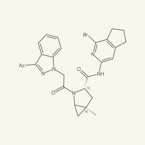 CC(=O)c1nn(CC(=O)N2C3C[C@]3(C)C[C@H]2C(=O)Nc2cc3c(c(Br)n2)CCC3)c2ccccc12